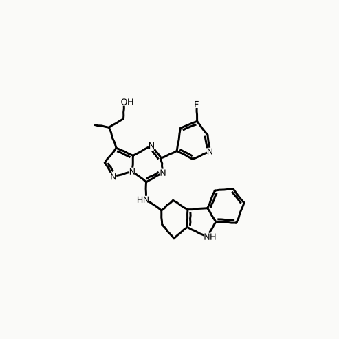 CC(CO)c1cnn2c(NC3CCc4[nH]c5ccccc5c4C3)nc(-c3cncc(F)c3)nc12